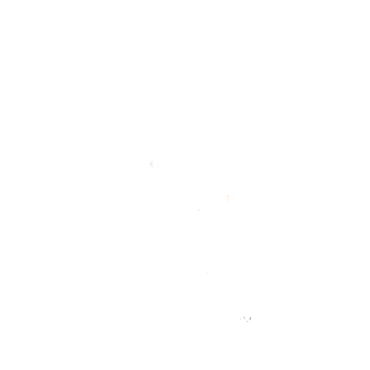 CCC(C)(Pc1ccccc1C=O)c1ccccc1OCOC